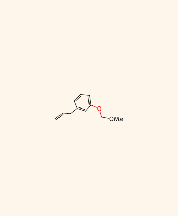 C=CCc1cccc(OCOC)c1